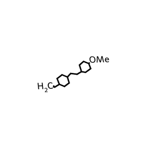 C=CC1CCC(CCC2CCC(OC)CC2)CC1